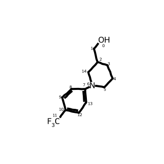 OCC1CCCN(c2ccc(C(F)(F)F)cc2)C1